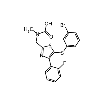 CN(Cc1nc(-c2ccccc2F)c(Sc2cccc(Br)c2)s1)C(=O)O